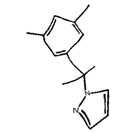 Cc1cc(C)cc(C(C)(C)n2cccn2)c1